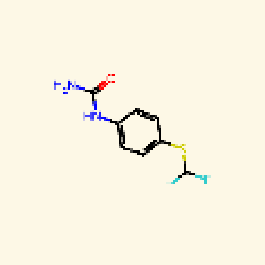 NC(=O)Nc1ccc(SC(F)F)cc1